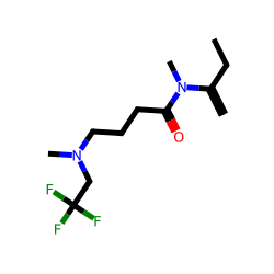 C=C(CC)N(C)C(=O)CCCN(C)CC(F)(F)F